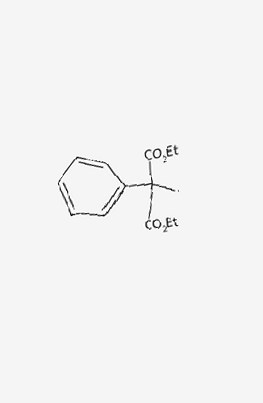 [CH2]C(C(=O)OCC)(C(=O)OCC)c1ccccc1